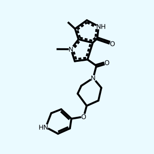 Cc1c[nH]c(=O)c2c(C(=O)N3CCC(OC4=CCNC=C4)CC3)cn(C)c12